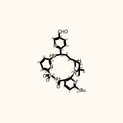 CC(C)(C)c1ccc2c(n1)N1C[C@@H](CCC(c3ccc(C=O)cn3)Nc3cccc(n3)S(=O)(=O)NC2=O)CC1(C)C